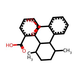 CC1CCC(C)C(c2ccccc2C(=O)O)C1c1ccccc1C(=O)O